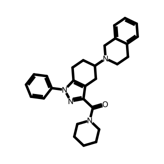 O=C(c1nn(-c2ccccc2)c2c1CC(N1CCc3ccccc3C1)CC2)N1CCCCC1